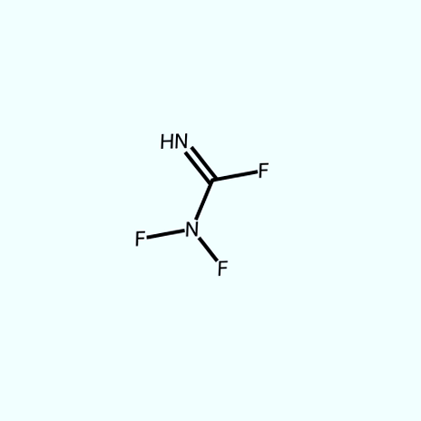 N=C(F)N(F)F